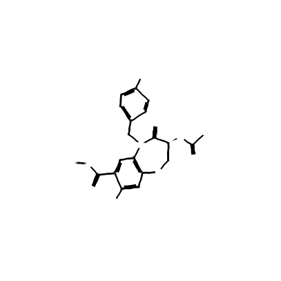 NNC(=O)c1cc2c(cc1F)SC[C@H](OC(N)=O)C(=O)N2Cc1ccc(Cl)cc1